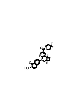 Cn1ccc2cc(N3C[C@@H]4CC[C@@H]4c4cc(C(=O)N5CCC(F)(F)CC5)cnc43)ccc2c1=O